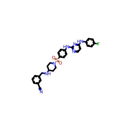 N#Cc1cccc(CNC2CCN(S(=O)(=O)c3ccc(Nc4nccc(Nc5ccc(F)cc5)n4)cc3)CC2)c1